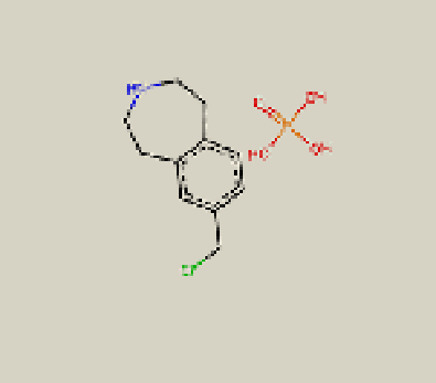 ClCc1ccc2c(c1)CCNCC2.O=P(O)(O)O